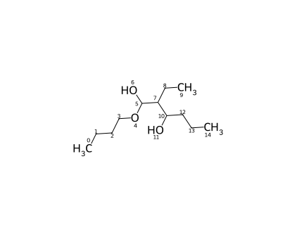 CCCCOC(O)C(CC)C(O)CCC